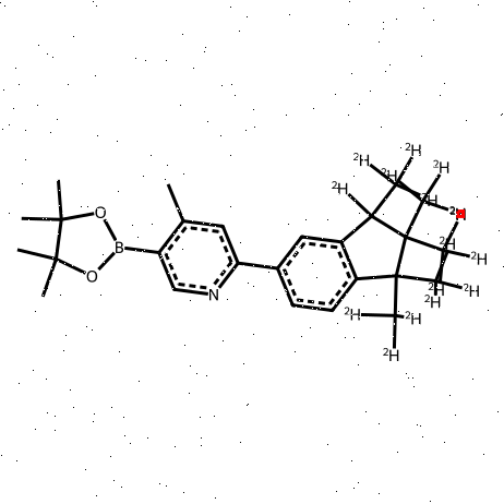 [2H]C([2H])([2H])C1([2H])c2cc(-c3cc(C)c(B4OC(C)(C)C(C)(C)O4)cn3)ccc2C(C([2H])([2H])[2H])(C([2H])([2H])[2H])C1(C([2H])([2H])[2H])C([2H])([2H])[2H]